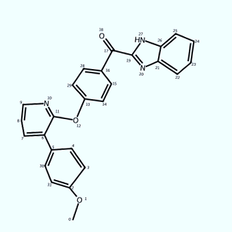 COc1ccc(-c2cccnc2Oc2ccc(C(=O)c3nc4ccccc4[nH]3)cc2)cc1